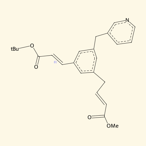 COC(=O)C=CCc1cc(/C=C/C(=O)OC(C)(C)C)cc(Cc2cccnc2)c1